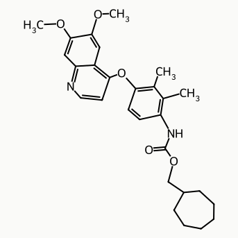 COc1cc2nccc(Oc3ccc(NC(=O)OCC4CCCCCC4)c(C)c3C)c2cc1OC